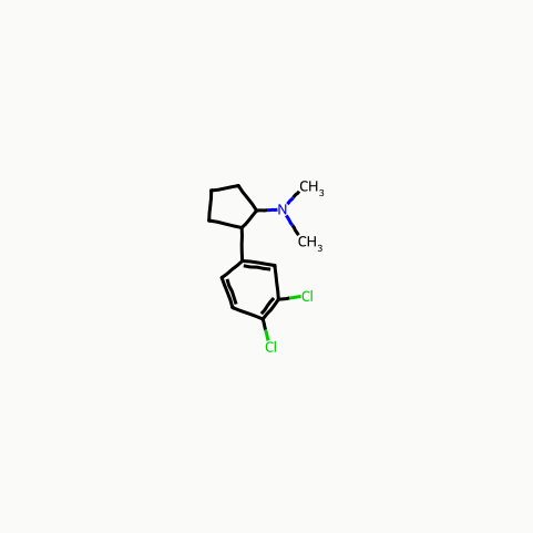 CN(C)C1CCCC1c1ccc(Cl)c(Cl)c1